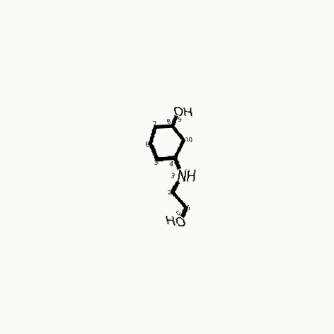 OCCNC1CCCC(O)C1